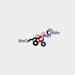 CNC[C@H](CC(C)C)NC(=O)N1CCC[C@@H]([C@@](O)(CCCCOC)c2ccccc2OC2CCCC2)C1